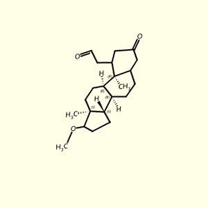 COC1CC[C@H]2[C@@H]3CCC4CC(=O)CC(CC=O)[C@]4(C)[C@@H]3CC[C@]12C